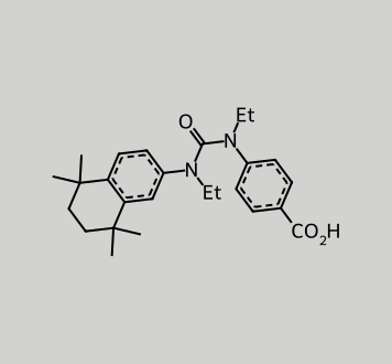 CCN(C(=O)N(CC)c1ccc2c(c1)C(C)(C)CCC2(C)C)c1ccc(C(=O)O)cc1